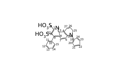 O=S(=O)(O)c1nc2c3c(ccc2c(-c2ccccc2)c1S(=O)(=O)O)N(c1ccccc1)CC=C3